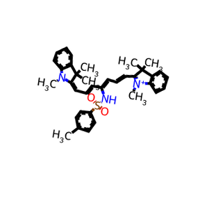 Cc1ccc(S(=O)(=O)NC(=C\C=C\C2=[N+](C)c3ccccc3C2(C)C)/C=C/C=C2/N(C)c3ccccc3C2(C)C)cc1